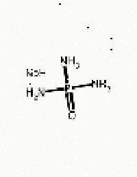 NP(N)(N)=O.[NaH]